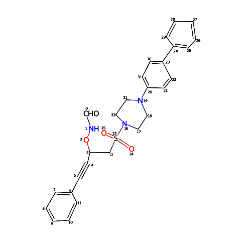 O=CNOC(C#Cc1ccccc1)CS(=O)(=O)N1CCN(c2ccc(-c3ccccc3)cc2)CC1